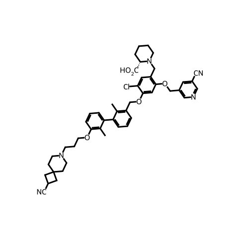 Cc1c(COc2cc(OCc3cncc(C#N)c3)c(CN3CCCC[C@H]3C(=O)O)cc2Cl)cccc1-c1cccc(OCCCN2CCC3(CC2)CC(C#N)C3)c1C